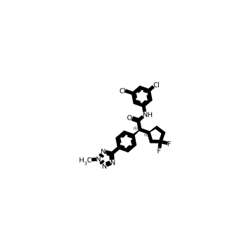 Cn1nnc(-c2ccc([C@@H](C(=O)Nc3cc(Cl)cc(Cl)c3)[C@H]3CCC(F)(F)C3)cc2)n1